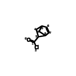 O=C(Cl)C1CC2C=CC1C2